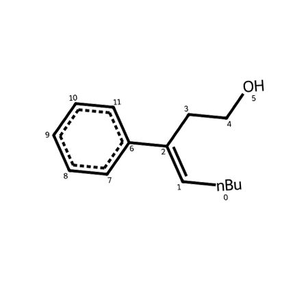 CCCC/C=C(\CCO)c1ccccc1